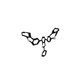 c1ccc(-c2nc3c(-c4ccc5sc6ccccc6c5c4)ccc(-c4ccc5sc6ccccc6c5c4)c3s2)cc1